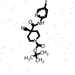 CC(C)(C)OC(=O)N1CCC(C#N)(C(=O)Nc2ccc(F)cn2)CC1